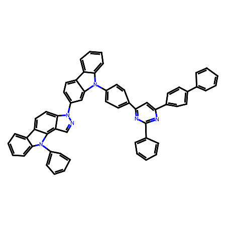 c1ccc(-c2ccc(-c3cc(-c4ccc(-n5c6ccccc6c6ccc(-n7ncc8c7ccc7c9ccccc9n(-c9ccccc9)c78)cc65)cc4)nc(-c4ccccc4)n3)cc2)cc1